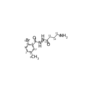 Cc1ccc(Br)c(C(=O)NNC(=O)CCCN)c1